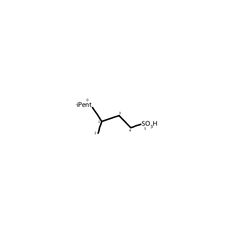 CCC[C](C)C(C)CCS(=O)(=O)O